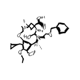 CCOc1cc([C@@H](C)N(CCOCc2ccccc2)C(O)NC2(C(=O)O)CC(F)(F)C2)c(Cl)c(OCC)c1C1CC1